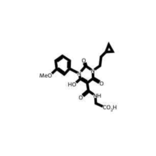 COc1cccc(-n2c(O)c(C(=O)NCC(=O)O)c(=O)n(CCC3CC3)c2=O)c1